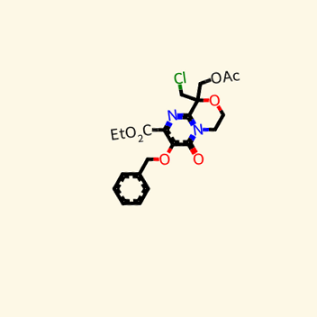 CCOC(=O)c1nc2n(c(=O)c1OCc1ccccc1)CCOC2(CCl)COC(C)=O